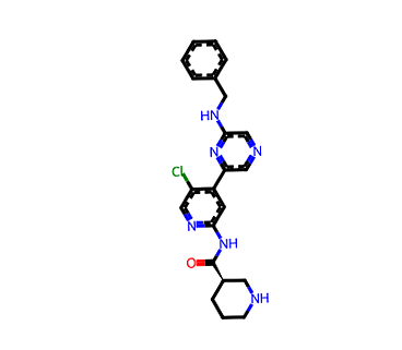 O=C(Nc1cc(-c2cncc(NCc3ccccc3)n2)c(Cl)cn1)[C@@H]1CCCNC1